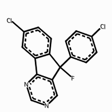 FC1(c2ccc(Cl)cc2)c2ccc(Cl)cc2-c2ncncc21